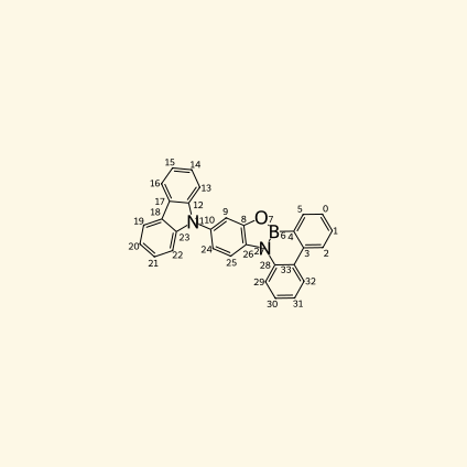 c1ccc2c(c1)B1Oc3cc(-n4c5ccccc5c5ccccc54)ccc3N1c1ccccc1-2